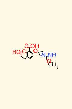 COCC(=N)N1CC(Oc2ccc3c(c2C(=O)O)OB(O)CC3)C1